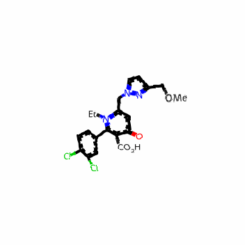 CCn1c(Cn2ccc(COC)n2)cc(=O)c(C(=O)O)c1-c1ccc(Cl)c(Cl)c1